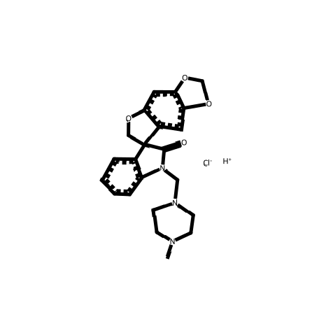 CN1CCN(CN2C(=O)C3(COc4cc5c(cc43)OCO5)c3ccccc32)CC1.[Cl-].[H+]